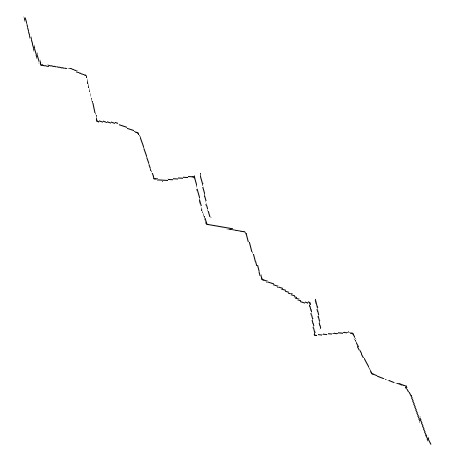 CCCC/C=C/CC/C=C/CCCCCC